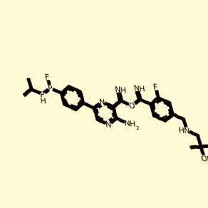 CC(C)PP(F)c1ccc(-c2cnc(N)c(C(=N)OC(=N)c3ccc(CNCC(C)(C)O)cc3F)n2)cc1